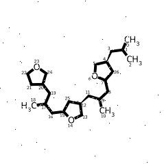 CC(C)C[C@@H]1COC(CC(C)C[C@H]2COC(CC(C)CC3CCOC3)C2)C1